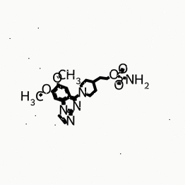 COc1cc2c(N3CCC(CCOS(N)(=O)=O)CC3)nc3nccn3c2cc1OC